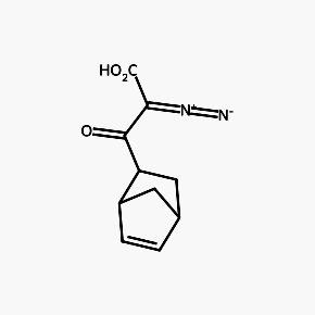 [N-]=[N+]=C(C(=O)O)C(=O)C1CC2C=CC1C2